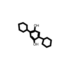 Oc1cc(C2CCCCC2)c(O)cc1C1CCCCC1